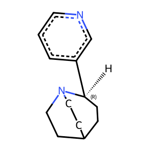 c1cncc([C@H]2CCC3CCN2CC3)c1